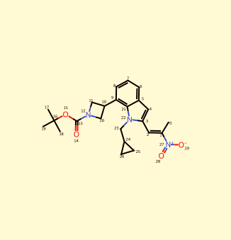 CC(=Cc1cc2cccc(C3CN(C(=O)OC(C)(C)C)C3)c2n1CC1CC1)[N+](=O)[O-]